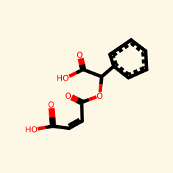 O=C(O)/C=C\C(=O)OC(C(=O)O)c1ccccc1